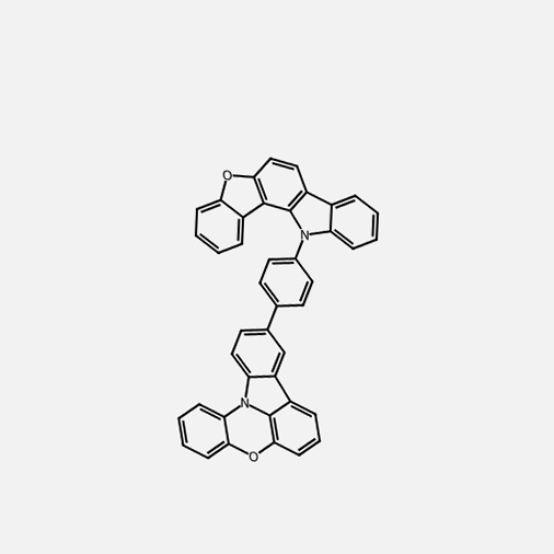 c1ccc2c(c1)Oc1cccc3c4cc(-c5ccc(-n6c7ccccc7c7ccc8oc9ccccc9c8c76)cc5)ccc4n-2c13